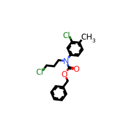 Cc1ccc(N(CCCCl)C(=O)OCc2ccccc2)cc1Cl